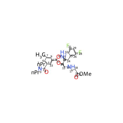 CCCN(CCC)C(=O)c1cc(C)cc(C(=O)O[C@H](CNCCC(=O)OC)[C@@H](N)Cc2cc(F)cc(F)c2)c1